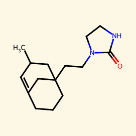 CC1C=C2CCCC(CCN3CCNC3=O)(C2)C1